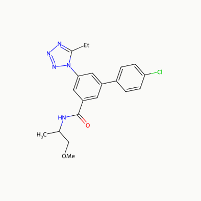 CCc1nnnn1-c1cc(C(=O)NC(C)COC)cc(-c2ccc(Cl)cc2)c1